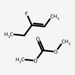 CC=C(F)CC.COC(=O)OC